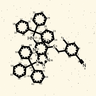 N#Cc1ccc(I)c(CSc2cc(NC(c3ccccc3)(c3ccccc3)c3ccccc3)nc3c2nnn3C(c2ccccc2)(c2ccccc2)c2ccccc2)c1